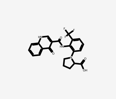 O=C(Nc1c(N2CCCC2C(=O)O)cccc1C(F)(F)F)c1c[nH]c2ccccc2c1=O